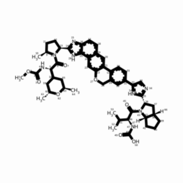 COC(=O)N[C@H](C(=O)N1[C@@H](C)CC[C@H]1c1nc2ccc3cc4c(cc3c2[nH]1)OCc1cc(-c2cnc([C@@H]3C[C@@H]5CCC[C@@H]5N3C(=O)[C@@H](NC(=O)O)C(C)C)[nH]2)ccc1-4)C1C[C@@H](C)O[C@H](C)C1